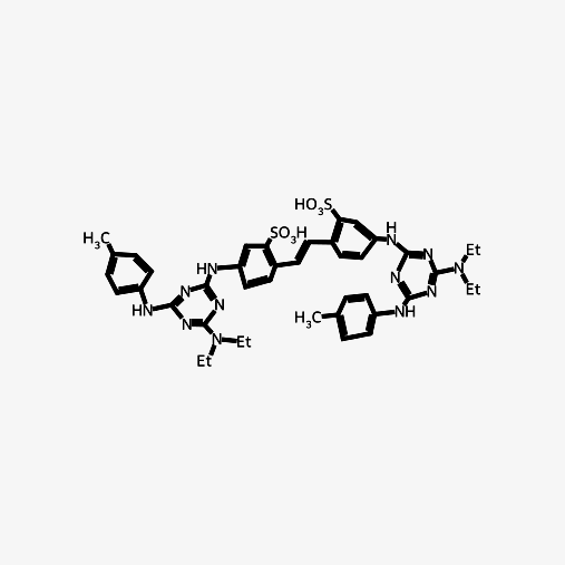 CCN(CC)c1nc(Nc2ccc(C)cc2)nc(Nc2ccc(/C=C/c3ccc(Nc4nc(Nc5ccc(C)cc5)nc(N(CC)CC)n4)cc3S(=O)(=O)O)c(S(=O)(=O)O)c2)n1